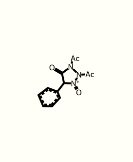 CC(=O)N1C(=O)C(c2ccccc2)[N+](=O)N1C(C)=O